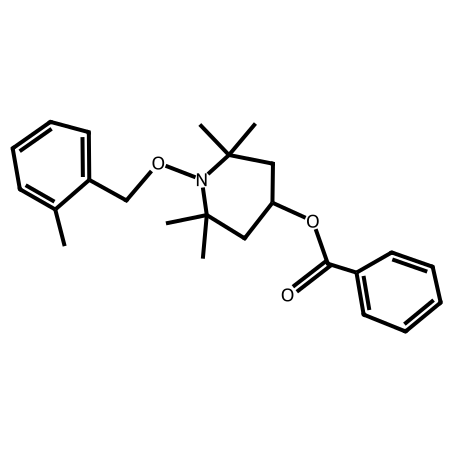 Cc1ccccc1CON1C(C)(C)CC(OC(=O)c2ccccc2)CC1(C)C